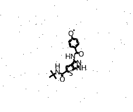 COc1ccc(C(=O)Nc2n[nH]c3sc(C(=O)NC(C)(C)C)cc23)cc1